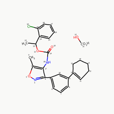 Cc1onc(-c2cccc(C3=CCCCC3)c2)c1NC(=O)OC(C)c1ccccc1Cl.O=C(O)O